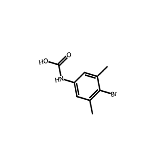 Cc1cc(NC(=O)O)cc(C)c1Br